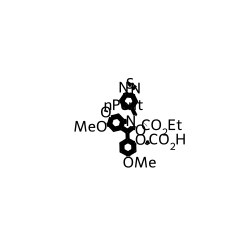 CCCCCOc1cc2c(cc1OC)c(-c1ccc(OC)cc1OCC(=O)O)c(OC(=O)OCC)n2Cc1ccc2nsnc2c1